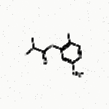 Cc1ccc(C(=O)O)cc1SC(=O)N(C)C